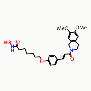 COc1cc2c(cc1OC)CN(C(=O)/C=C/c1ccc(OCCCCCCC(=O)NO)cc1)CC2